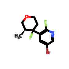 C[C@@H]1COCC[C@]1(F)c1cc(Br)cnc1F